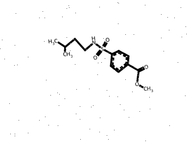 COC(=O)c1ccc(S(=O)(=O)NCCC(C)C)cc1